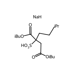 CC(C)CCC(CC(=O)OCC(C)C)(C(=O)OCC(C)C)S(=O)(=O)O.[NaH]